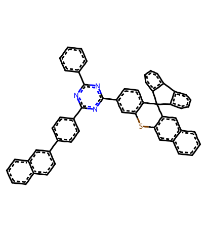 c1ccc(-c2nc(-c3ccc(-c4ccc5ccccc5c4)cc3)nc(-c3ccc4c(c3)Sc3cc5ccccc5cc3C43c4ccccc4-c4ccccc43)n2)cc1